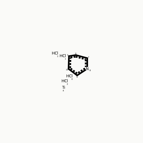 Cl.Cl.Cl.Cl.[Ti].c1ccncc1